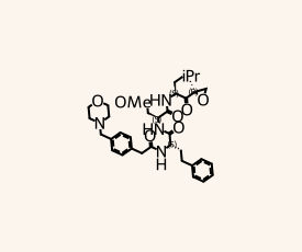 COC[C@H](NC(=O)[C@H](CCc1ccccc1)NC(=O)Cc1ccc(CN2CCOCC2)cc1)C(=O)N[C@@H](CC(C)C)C(=O)[C@@]1(C)CO1